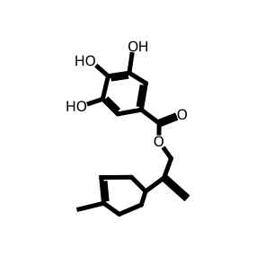 C=C(COC(=O)c1cc(O)c(O)c(O)c1)C1CC=C(C)CC1